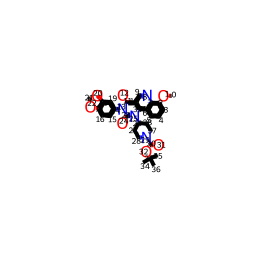 COc1cccc2c1ncc1c(=O)n(-c3ccc4c(c3)OCO4)c(=O)n(C3CCN(C(=O)OC(C)(C)C)CC3)c12